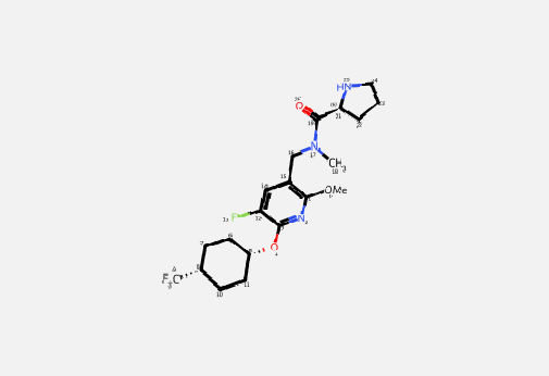 COc1nc(O[C@H]2CC[C@@H](C(F)(F)F)CC2)c(F)cc1CN(C)C(=O)[C@@H]1CCCN1